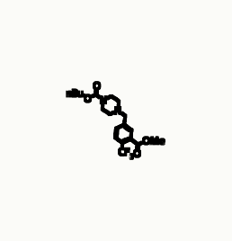 CCCCOC(=O)N1CCN(Cc2ccc(C(F)(F)F)c(C(=O)OC)c2)CC1